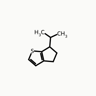 CC(C)C1CCc2ccsc21